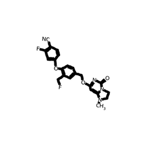 CN1CCn2c1cc(OCc1ccc(Oc3ccc(C#N)c(F)c3)c(CF)c1)nc2=O